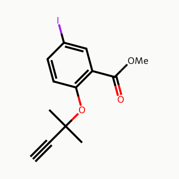 C#CC(C)(C)Oc1ccc(I)cc1C(=O)OC